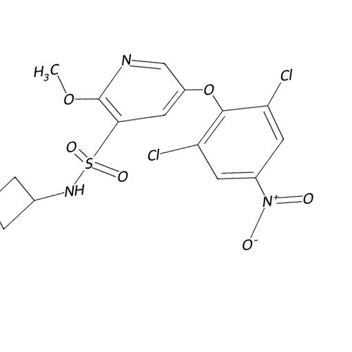 COc1ncc(Oc2c(Cl)cc([N+](=O)[O-])cc2Cl)cc1S(=O)(=O)NC1CCC1